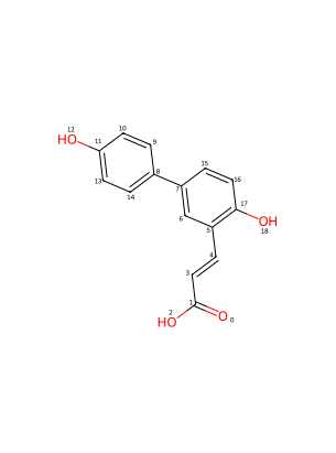 O=C(O)C=Cc1cc(-c2ccc(O)cc2)ccc1O